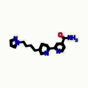 NC(=O)c1ccnc(-c2ccc(CCCCn3cccn3)cn2)c1